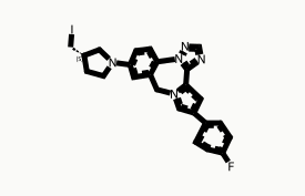 Fc1ccc(-c2cc3n(c2)Cc2cc(N4CC[C@H](CI)C4)ccc2-n2ncnc2-3)cc1